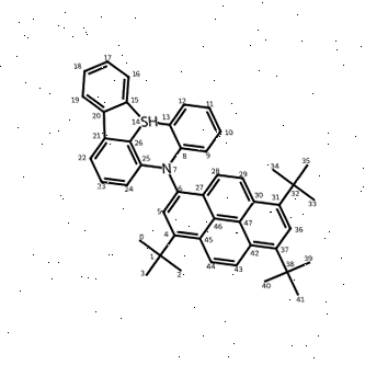 CC(C)(C)c1cc(N2c3ccccc3[SH]3c4ccccc4-c4cccc2c43)c2ccc3c(C(C)(C)C)cc(C(C)(C)C)c4ccc1c2c34